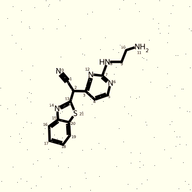 N#CC(c1ccnc(NCCN)n1)c1nc2ccccc2s1